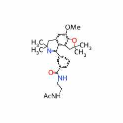 COc1cc2c(c3c1OC(C)(C)C3)C(c1cccc(C(=O)NCCNC(C)=O)c1)=NC(C)(C)C2